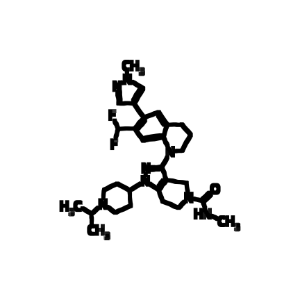 CNC(=O)N1CCc2c(c(N3CCCc4cc(-c5cnn(C)c5)c(C(F)F)cc43)nn2C2CCN(C(C)C)CC2)C1